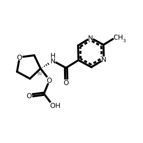 Cc1ncc(C(=O)N[C@]2(OC(=O)O)CCOC2)cn1